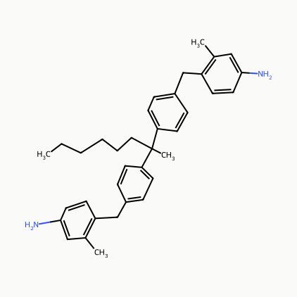 CCCCCCC(C)(c1ccc(Cc2ccc(N)cc2C)cc1)c1ccc(Cc2ccc(N)cc2C)cc1